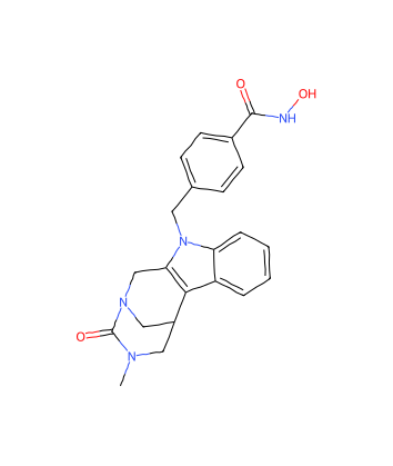 CN1CC2CN(Cc3c2c2ccccc2n3Cc2ccc(C(=O)NO)cc2)C1=O